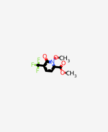 COC(=O)c1ccc(C(F)(F)F)c(=O)n1OC